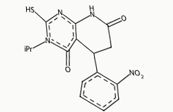 CC(C)n1c(S)nc2c(c1=O)C(c1ccccc1[N+](=O)[O-])CC(=O)N2